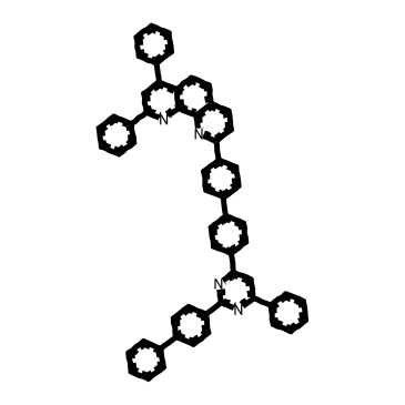 c1ccc(-c2ccc(-c3nc(-c4ccccc4)cc(-c4ccc(-c5ccc(-c6ccc7ccc8c(-c9ccccc9)cc(-c9ccccc9)nc8c7n6)cc5)cc4)n3)cc2)cc1